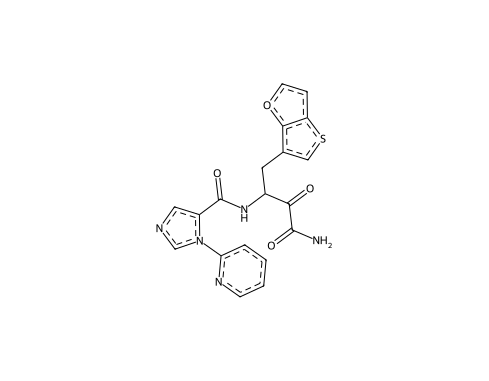 NC(=O)C(=O)C(Cc1csc2ccoc12)NC(=O)c1cncn1-c1ccccn1